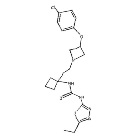 CCc1nnc(NC(=O)NC2(CCN3CC(Oc4ccc(Cl)cc4)C3)CCC2)s1